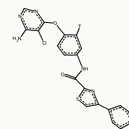 Nc1ncnc(Oc2ccc(NC(=O)c3nc(-c4ccccc4)cs3)cc2F)c1Cl